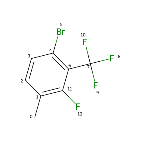 Cc1ccc(Br)c(C(F)(F)F)c1F